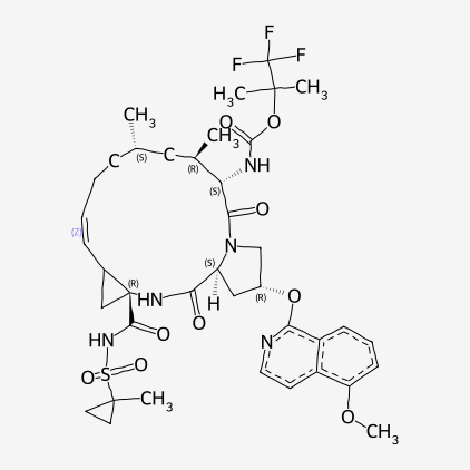 COc1cccc2c(O[C@@H]3C[C@H]4C(=O)N[C@]5(C(=O)NS(=O)(=O)C6(C)CC6)CC5/C=C\CC[C@H](C)C[C@@H](C)[C@H](NC(=O)OC(C)(C)C(F)(F)F)C(=O)N4C3)nccc12